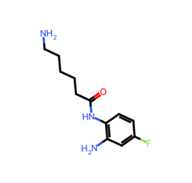 NCCCCCC(=O)Nc1ccc(F)cc1N